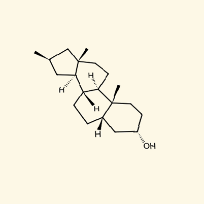 C[C@@H]1C[C@@H]2[C@H]3CC[C@H]4C[C@@H](O)CC[C@@]4(C)[C@@H]3CC[C@@]2(C)C1